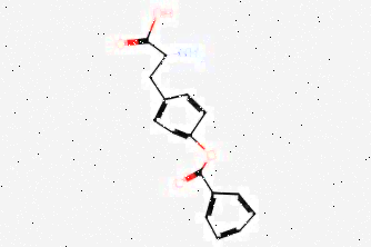 N[C@H](Cc1ccc(OC(=O)c2ccccc2)cc1)C(=O)O